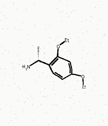 CCOc1ccc([C@@H](C)N)c(OCC)c1